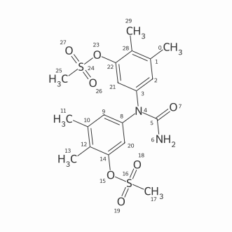 Cc1cc(N(C(N)=O)c2cc(C)c(C)c(OS(C)(=O)=O)c2)cc(OS(C)(=O)=O)c1C